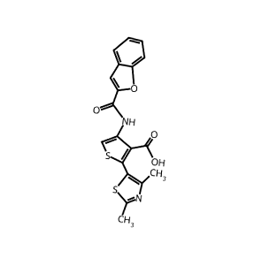 Cc1nc(C)c(-c2scc(NC(=O)c3cc4ccccc4o3)c2C(=O)O)s1